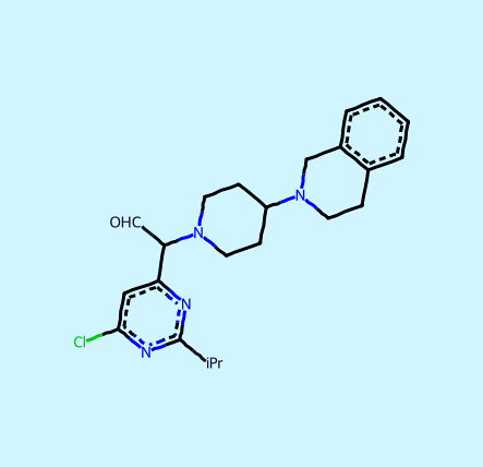 CC(C)c1nc(Cl)cc(C(C=O)N2CCC(N3CCc4ccccc4C3)CC2)n1